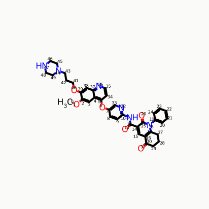 COc1cc2c(Oc3ccc(NC(=O)c4cc5c(n(-c6ccccc6)c4=O)CCCC5=O)nc3)ccnc2cc1OCCCN1CCNCC1